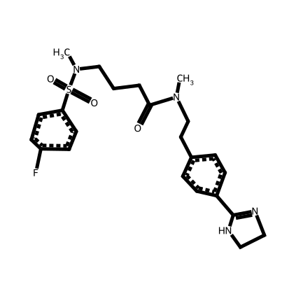 CN(CCc1ccc(C2=NCCN2)cc1)C(=O)CCCN(C)S(=O)(=O)c1ccc(F)cc1